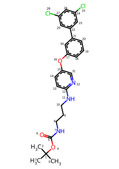 CC(C)(C)OC(=O)NCCCNc1ccc(Oc2cccc(-c3cc(Cl)cc(Cl)c3)c2)cn1